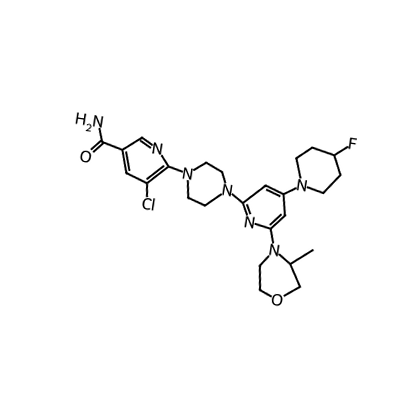 CC1COCCN1c1cc(N2CCC(F)CC2)cc(N2CCN(c3ncc(C(N)=O)cc3Cl)CC2)n1